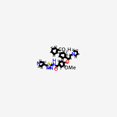 COc1cc(C(=O)Nc2nnc(-c3ccncc3)s2)ccc1OC(CCN1CCCC1)c1ccccc1.O=C(O)c1ccccc1